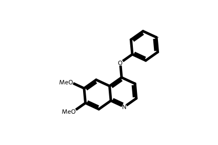 COc1cc2nccc(Oc3cc[c]cc3)c2cc1OC